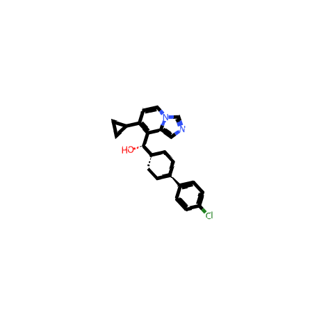 O[C@H](c1c(C2CC2)ccn2cncc12)[C@H]1CC[C@H](c2ccc(Cl)cc2)CC1